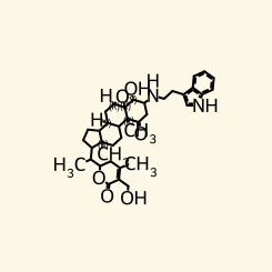 CC1=C(CO)C(=O)OC(C(C)C2CCC3[C@@H]4C[C@H]5O[C@]56[C@@H](O)C(NCCc5c[nH]c7ccccc57)CC(=O)[C@]6(C)C4CC[C@]23C)C1